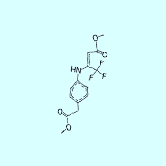 COC(=O)/C=C(/Nc1ccc(CC(=O)OC)cc1)C(F)(F)F